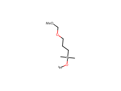 [3H]O[Si](C)(C)CCCOCOC